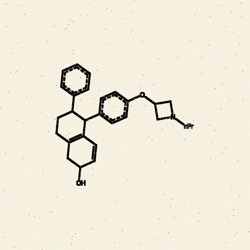 CCCN1CC(Oc2ccc(C3C4=C(CCC3c3ccccc3)CC(O)C=C4)cc2)C1